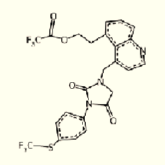 O=C1CN(Cc2ccnc3cccc(CCOC(=O)C(F)(F)F)c23)C(=O)N1c1ccc(SC(F)(F)F)cc1